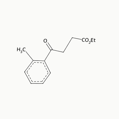 CCOC(=O)CCC(=O)c1ccccc1C